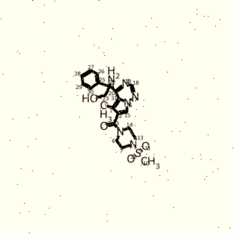 Cc1c(C(=O)N2CCN(S(C)(=O)=O)CC2)cn2ncnc([C@](N)(CO)c3ccccc3)c12